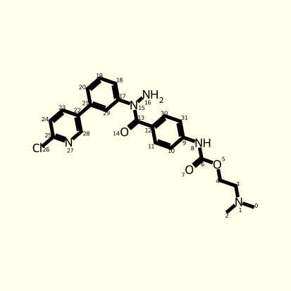 CN(C)CCOC(=O)Nc1ccc(C(=O)N(N)c2cccc(-c3ccc(Cl)nc3)c2)cc1